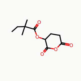 CCC(C)(C)C(=O)OC1CCC(=O)OC1=O